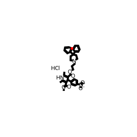 COC(=O)C1=C(C)NC(C)=C(C(=O)OCCCN2CCC(c3ccccc3)(c3ccccc3)CC2)C1c1ccc([N+](=O)[O-])cc1.Cl